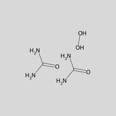 NC(N)=O.NC(N)=O.OO